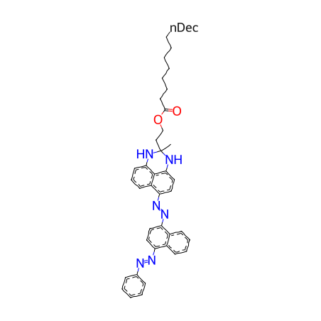 CCCCCCCCCCCCCCCCCC(=O)OCCC1(C)Nc2cccc3c(/N=N/c4ccc(/N=N/c5ccccc5)c5ccccc45)ccc(c23)N1